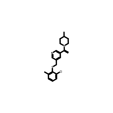 C=C(c1cncc(CSc2c(C)cccc2Cl)c1)N1CCC(C)CC1